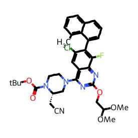 COC(COc1nc(N2CCN(C(=O)OC(C)(C)C)[C@@H](CC#N)C2)c2cc(Cl)c(-c3cccc4cccc(C)c34)c(F)c2n1)OC